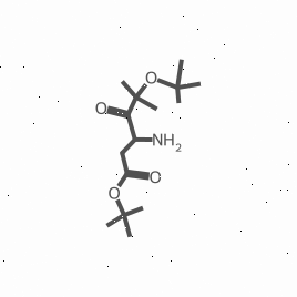 CC(C)(C)OC(=O)CC(N)C(=O)C(C)(C)OC(C)(C)C